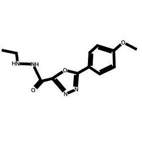 CCNNC(=O)c1nnc(-c2ccc(OC)cc2)o1